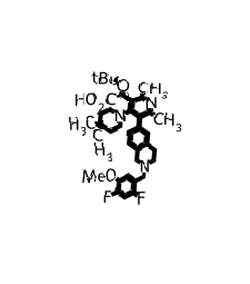 COc1cc(CN2CCc3cc(-c4c(C)nc(C)c([C@H](OC(C)(C)C)C(=O)O)c4N4CCC(C)(C)CC4)ccc3C2)c(F)cc1F